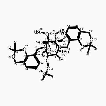 CCC(C(CO[Si](C)(C)C)N(Cc1cccc2c1OC(C)(C)OC2)CP(=O)(OC(C)(C)C)OC(C)(C)C)N(Cc1cccc2c1OC(C)(C)OC2)CP(=O)(OC(C)(C)C)OC(C)(C)C